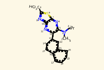 CC(C)N(C)c1nc2sc(C(=O)O)nc2nc1-c1ccc2ccccc2c1